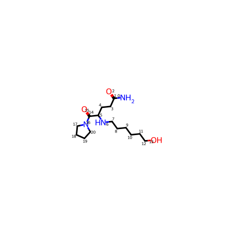 NC(=O)CCC(NCCCCCCO)C(=O)N1CCCC1